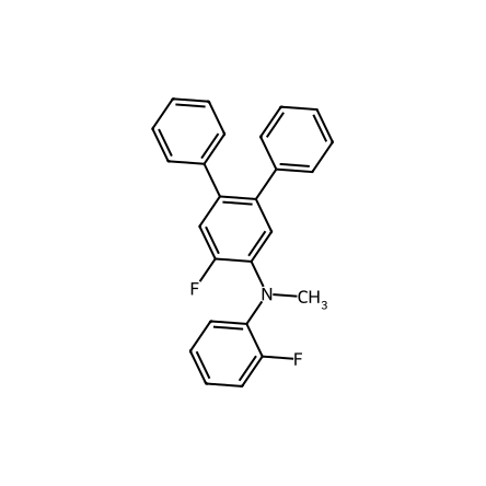 CN(c1ccccc1F)c1cc(-c2ccccc2)c(-c2ccccc2)cc1F